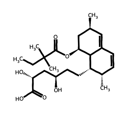 CCC(C)(C)C(=O)O[C@H]1C[C@@H](C)C=C2C=C[C@H](C)[C@H](CC[C@@H](O)C[C@@H](O)C(=O)O)C21